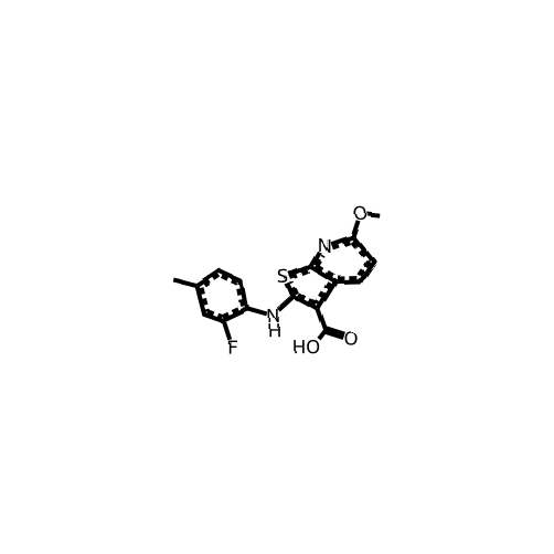 COc1ccc2c(C(=O)O)c(Nc3ccc(C)cc3F)sc2n1